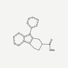 COC(=O)C1CCc2c(n(-c3ccccc3)c3ccccc23)C1